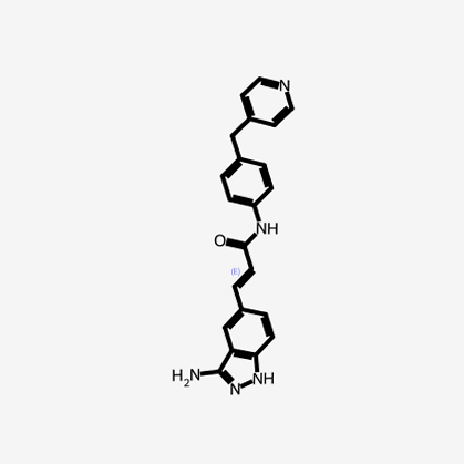 Nc1n[nH]c2ccc(/C=C/C(=O)Nc3ccc(Cc4ccncc4)cc3)cc12